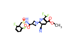 CCOC(=O)c1cc(C#N)c(N2CC(C(=O)NS(=O)(=O)Cc3c(F)cccc3F)C2)nc1C(F)F